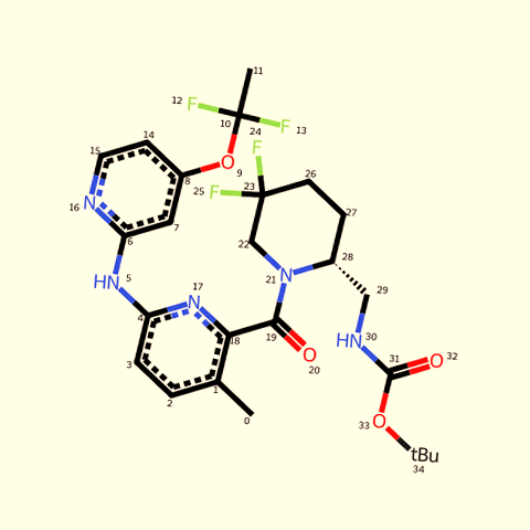 Cc1ccc(Nc2cc(OC(C)(F)F)ccn2)nc1C(=O)N1CC(F)(F)CC[C@@H]1CNC(=O)OC(C)(C)C